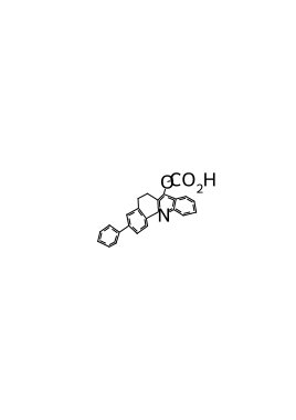 O=C(O)Oc1c2c(nc3ccccc13)-c1ccc(-c3ccccc3)cc1CC2